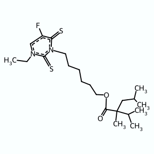 CCn1cc(F)c(=S)n(CCCCCCOC(=O)C(C)(CC(C)C)C(C)C)c1=S